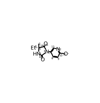 CC[C@@]1(C)NC(=O)N(c2ccc([O])nc2)C1=O